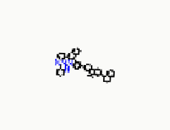 CC1(C)c2cc(-c3ccc4c(c3)c3c5ccccc5ccc3n4-c3nc4ccccc4c4nc5ccccc5n34)ccc2-c2ccc(-c3cccc4ccccc34)cc21